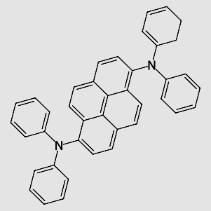 C1=CCCC(N(c2ccccc2)c2ccc3ccc4c(N(c5ccccc5)c5ccccc5)ccc5ccc2c3c54)=C1